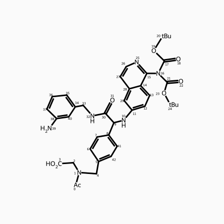 CC(=O)N(CC(=O)O)Cc1ccc(C(Nc2ccc3c(N(C(=O)OC(C)(C)C)C(=O)OC(C)(C)C)nccc3c2)C(=O)NCc2cccc(N)c2)cc1